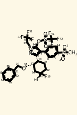 CS(=O)(=O)c1ccc(-c2c([C@@H]3CCC(F)(F)C[C@@H]3COCc3ccccc3)nn(CC(F)(F)F)c2OS(=O)(=O)C(F)(F)F)cc1